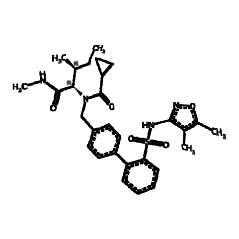 CC[C@H](C)[C@@H](C(=O)NC)N(Cc1ccc(-c2ccccc2S(=O)(=O)Nc2noc(C)c2C)cc1)C(=O)C1CC1